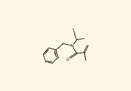 C=C(C)C(=O)N(Cc1ccccc1)C(C)C